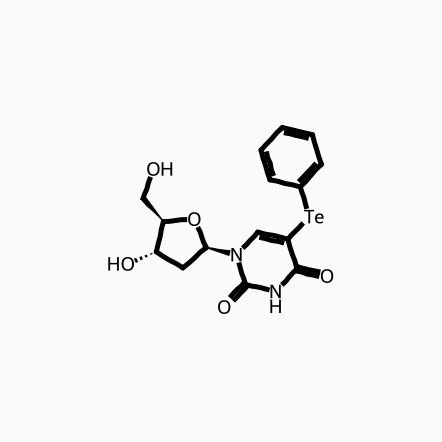 O=c1[nH]c(=O)n([C@H]2C[C@H](O)[C@@H](CO)O2)cc1[Te]c1ccccc1